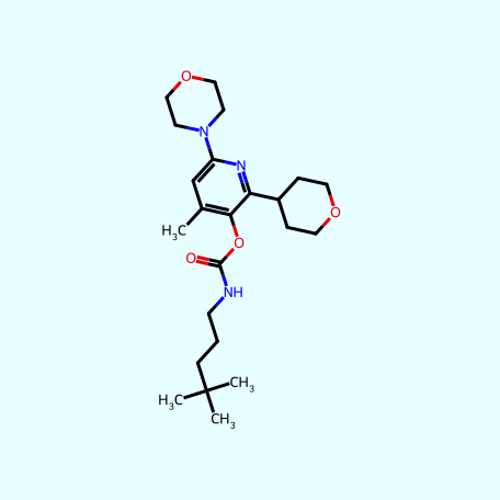 Cc1cc(N2CCOCC2)nc(C2CCOCC2)c1OC(=O)NCCCC(C)(C)C